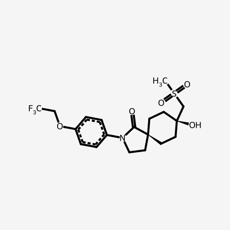 CS(=O)(=O)C[C@]1(O)CC[C@]2(CCN(c3ccc(OCC(F)(F)F)cc3)C2=O)CC1